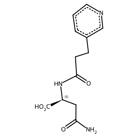 NC(=O)C[C@H](NC(=O)CCc1cccnc1)C(=O)O